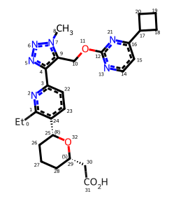 CCc1nc(-c2nnn(C)c2COc2nccc(C3CCC3)n2)ccc1[C@H]1CCC[C@@H](CC(=O)O)O1